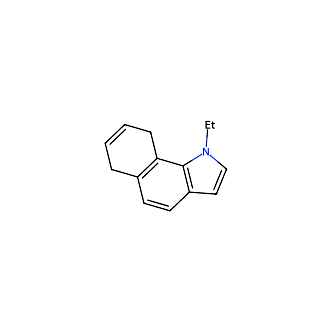 CCn1ccc2ccc3c(c21)CC=CC3